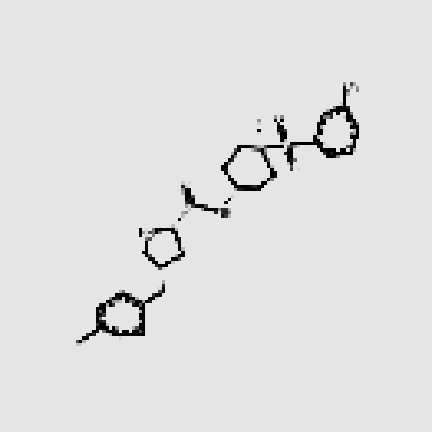 O=C(N[C@H]1CC[C@](F)(S(=O)(=O)c2cccc(C(F)(F)F)c2)CC1)[C@@H]1C[C@@H](Cc2ccc(F)cc2)CN1